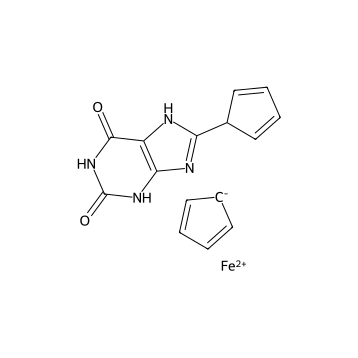 O=c1[nH]c(=O)c2[nH]c(C3C=CC=C3)nc2[nH]1.[Fe+2].c1cc[cH-]c1